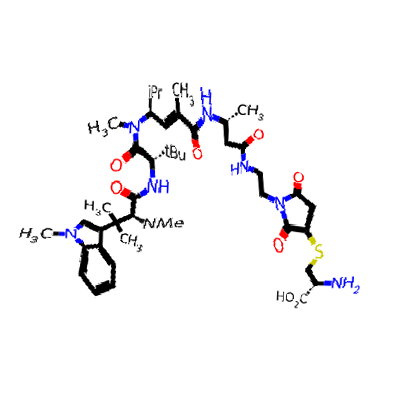 CN[C@H](C(=O)N[C@H](C(=O)N(C)[C@H](/C=C(\C)C(=O)N[C@H](C)CC(=O)NCCN1C(=O)CC(SC[C@H](N)C(=O)O)C1=O)C(C)C)C(C)(C)C)C(C)(C)c1cn(C)c2ccccc12